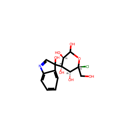 OC[C@@]1(Cl)OC(O)[C@H](O)[C@](O)(C2(O)C=Nc3ccccc32)[C@H]1O